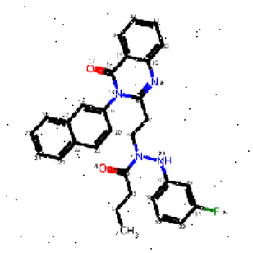 CCCC(=O)N(CCc1nc2ccccc2c(=O)n1-c1ccc2ccccc2c1)Nc1cccc(F)c1